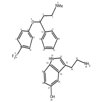 CNCCC(Oc1ccc(C(F)(F)F)cc1)c1ccccc1.NCCc1c[nH]c2ccc(O)cc12